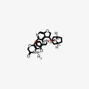 COc1ccc2ncc3c(c2n1)C(CN1[C@@H]2CC[C@H]1C[C@H](NCc1ccc4c(n1)NC(=O)CO4)C2)CO3